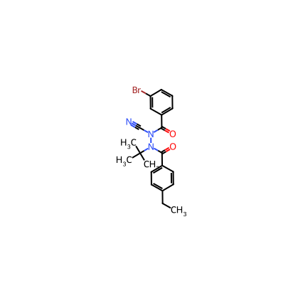 CCc1ccc(C(=O)N(N(C#N)C(=O)c2cccc(Br)c2)C(C)(C)C)cc1